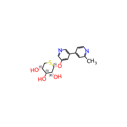 Cc1cc(-c2cncc(O[C@H]3SC[C@@H](O)[C@H](O)[C@H]3O)c2)ccn1